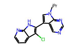 CC(C)n1cc(-c2[nH]c3ncccc3c2Cl)c2cncnc21